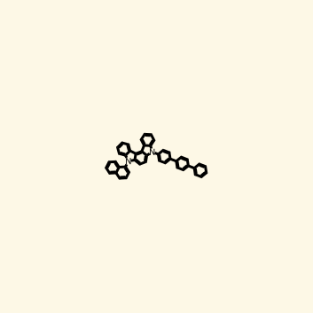 c1ccc(-c2ccc(-c3ccc(-n4c5ccccc5c5c6c7ccccc7n(-c7cccc8ccccc78)c6ccc54)cc3)cc2)cc1